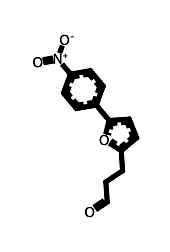 O=CCCc1ccc(-c2ccc([N+](=O)[O-])cc2)o1